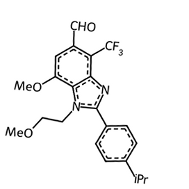 COCCn1c(-c2ccc(C(C)C)cc2)nc2c(C(F)(F)F)c(C=O)cc(OC)c21